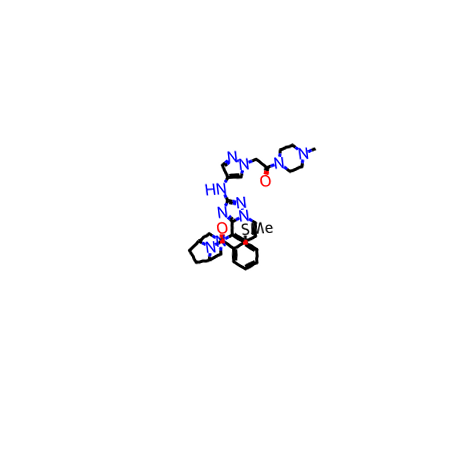 CSc1ccccc1C(=O)N1C2CCC1CN(c1cccn3nc(Nc4cnn(CC(=O)N5CCN(C)CC5)c4)nc13)C2